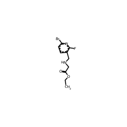 CCOC(=O)CNCc1ccc(Br)nc1F